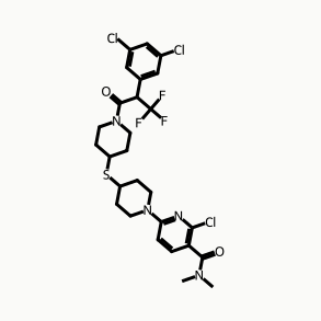 CN(C)C(=O)c1ccc(N2CCC(SC3CCN(C(=O)C(c4cc(Cl)cc(Cl)c4)C(F)(F)F)CC3)CC2)nc1Cl